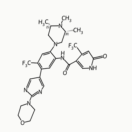 C[C@@H]1CN(c2cc(C(F)(F)F)c(-c3cnc(N4CCOCC4)nc3)cc2NC(=O)c2c[nH]c(=O)cc2C(F)(F)F)C[C@H](C)N1C